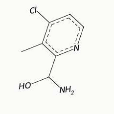 Cc1c(Cl)ccnc1C(N)O